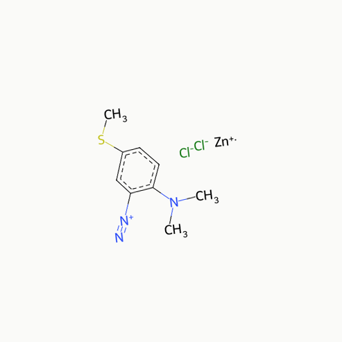 CSc1ccc(N(C)C)c([N+]#N)c1.[Cl-].[Cl-].[Zn+]